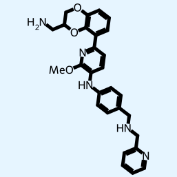 COc1nc(-c2cccc3c2OC(CN)CO3)ccc1Nc1ccc(CNCc2ccccn2)cc1